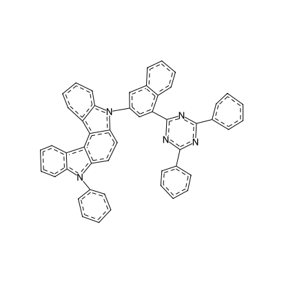 c1ccc(-c2nc(-c3ccccc3)nc(-c3cc(-n4c5ccccc5c5c6c7ccccc7n(-c7ccccc7)c6ccc54)cc4ccccc34)n2)cc1